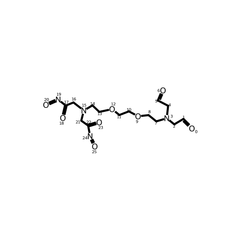 O=CCN(CC=O)CCOCCOCCN(CC(=O)N=O)CC(=O)N=O